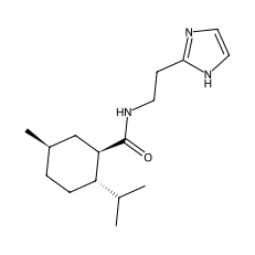 CC(C)[C@@H]1CC[C@@H](C)C[C@H]1C(=O)NCCc1ncc[nH]1